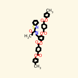 C=CC(=O)C(/N=C/c1cc(OC(=O)C2CCC(C(=O)Oc3ccc(C)cc3)CC2)ccc1OC(=O)C1CCC(C(=O)Oc2ccc(C)cc2)CC1)c1nc2ccccc2s1